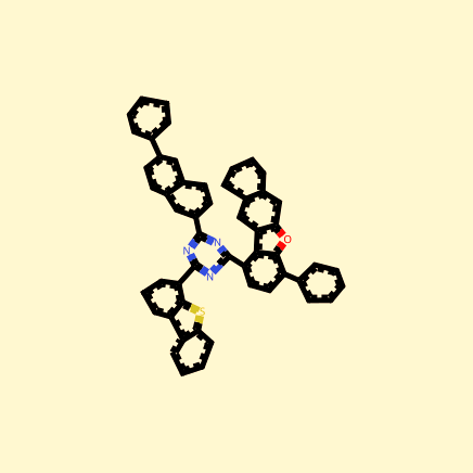 c1ccc(-c2ccc3cc(-c4nc(-c5cccc6c5sc5ccccc56)nc(-c5ccc(-c6ccccc6)c6oc7cc8ccccc8cc7c56)n4)ccc3c2)cc1